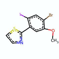 COc1cc(-c2nccs2)c(I)cc1Br